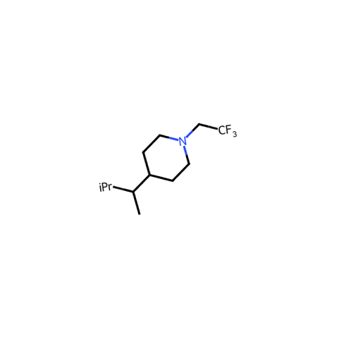 CC(C)C(C)C1CCN(CC(F)(F)F)CC1